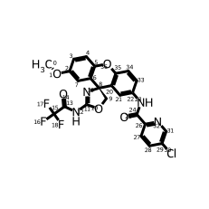 COc1ccc2c(c1)[C@]1(COC(NC(=O)C(F)(F)F)=N1)c1cc(NC(=O)c3ccc(Cl)cn3)ccc1O2